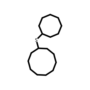 C1CCCCC(SC2CCCCCCC2)CCCC1